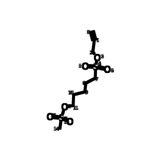 C#CCOS(=O)(=O)CCCCCOS(C)(=O)=O